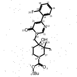 CC(C)(C)OC(=O)N1CC[C@](O)(Cn2cnc(-c3ccccc3F)cc2=O)C(C)(C)C1